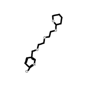 Clc1ccc(COCCOCCOC2CCCCO2)cn1